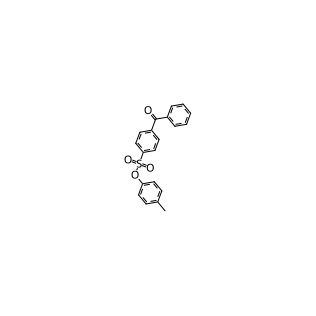 Cc1ccc(OS(=O)(=O)c2ccc(C(=O)c3ccccc3)cc2)cc1